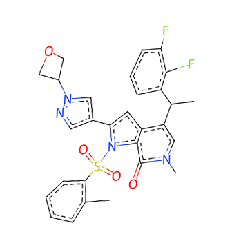 Cc1ccccc1S(=O)(=O)n1c(-c2cnn(C3COC3)c2)cc2c(C(C)c3cccc(F)c3F)cn(C)c(=O)c21